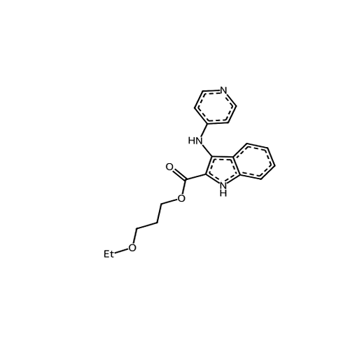 CCOCCCOC(=O)c1[nH]c2ccccc2c1Nc1ccncc1